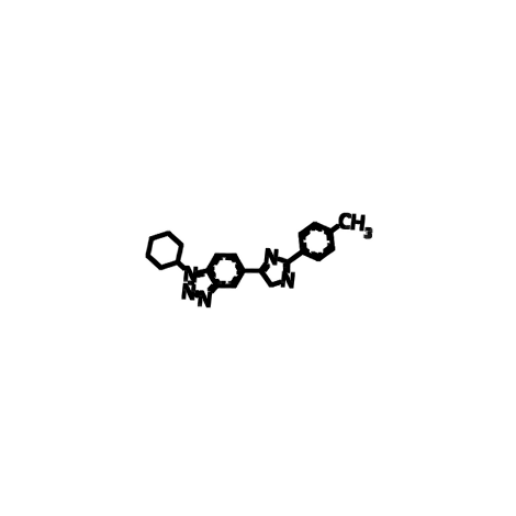 Cc1ccc(C2=NCC(c3ccc4c(c3)nnn4C3CCCCC3)=N2)cc1